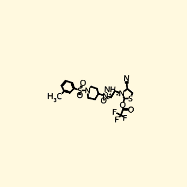 Cc1cccc(S(=O)(=O)N2CCC([N+](N)([O-])CCN3C(C#N)CSC3OC(=O)C(F)(F)F)CC2)c1